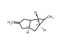 C=C1C[C@@H]2C[C@@H]3C(C)[C@H]3N2C1